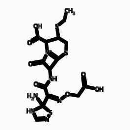 CCSC1CSC2=[N+](C(=O)C2NC(=O)C(=NOCC(=O)O)C2(N)NC=NS2)C1C(=O)O